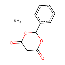 O=C1CC(=O)OC(c2ccccc2)O1.[SiH4]